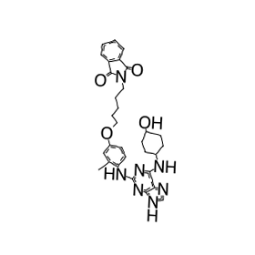 Cc1cc(OCCCCCN2C(=O)c3ccccc3C2=O)ccc1Nc1nc(NC2CCC(O)CC2)c2nc[nH]c2n1